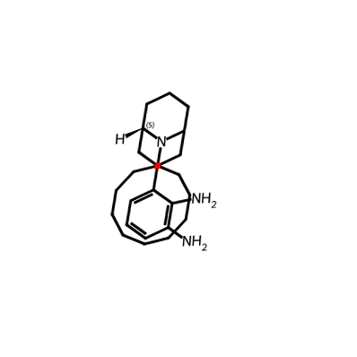 Nc1cccc(C2CC3CCC[C@@H](C2)N3C2CCCCCCCCC2)c1N